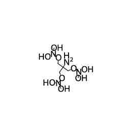 NC(CON(O)O)(CON(O)O)CON(O)O